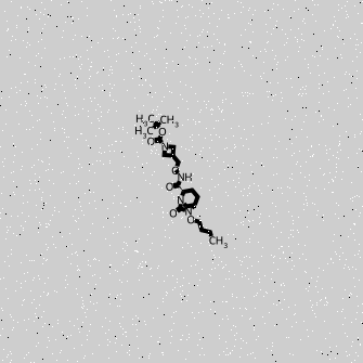 CCCCON1C(=O)N2CC1CC[C@H]2C(=O)NOCC1CN(C(=O)OC(C)(C)C)C1